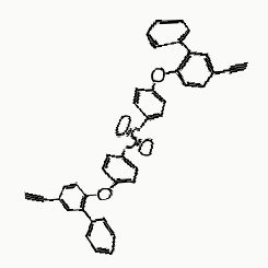 C#Cc1ccc(Oc2ccc(S(=O)(=O)c3ccc(Oc4ccc(C#C)cc4-c4ccccc4)cc3)cc2)c(-c2ccccc2)c1